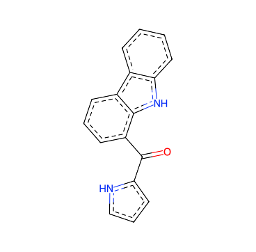 O=C(c1ccc[nH]1)c1cccc2c1[nH]c1ccccc12